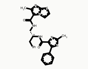 Cc1nc(C(=O)N[C@@H](CNC(=O)c2c(C)nc3sccn23)CC(C)C)c(-c2ccccc2)s1